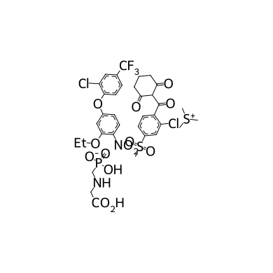 CCOc1cc(Oc2ccc(C(F)(F)F)cc2Cl)ccc1[N+](=O)[O-].CS(=O)(=O)c1ccc(C(=O)C2C(=O)CCCC2=O)c(Cl)c1.C[S+](C)C.O=C(O)CNCP(=O)([O-])O